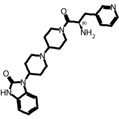 N[C@H](Cc1cccnc1)C(=O)N1CCC(N2CCC(n3c(=O)[nH]c4ccccc43)CC2)CC1